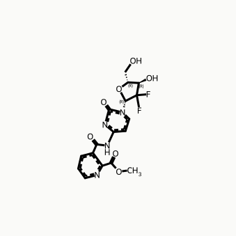 COC(=O)c1ncccc1C(=O)Nc1ccn([C@@H]2O[C@H](CO)[C@@H](O)C2(F)F)c(=O)n1